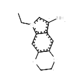 CCn1cc(N)c2cc3c(cc21)OCCO3